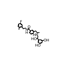 Cc1ccc(F)cc1CCNC(=O)c1cccc(CC(C)NCC(O)c2cc(O)cc(O)c2)c1